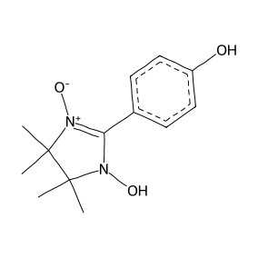 CC1(C)N(O)C(c2ccc(O)cc2)=[N+]([O-])C1(C)C